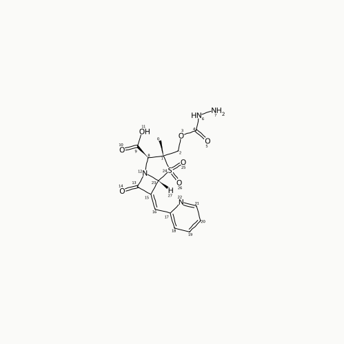 C[C@]1(COC(=O)NN)[C@H](C(=O)O)N2C(=O)/C(=C/c3ccccn3)[C@H]2S1(=O)=O